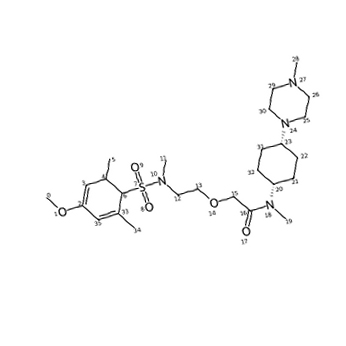 COC1=CC(C)C(S(=O)(=O)N(C)CCOCC(=O)N(C)[C@H]2CC[C@@H](N3CCN(C)CC3)CC2)C(C)=C1